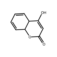 O=C1C=C(O)C2C=CC=CC2O1